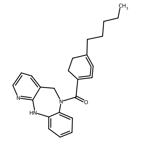 CCCCCC1=C=C=C(C(=O)N2Cc3cccnc3Nc3ccccc32)CC1